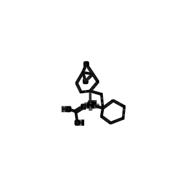 CC1(CC2(C)CCC34OC3(C2)O4)CCCCC1.O=C(O)O